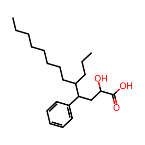 CCCCCCCCC(CCC)C(CC(O)C(=O)O)c1ccccc1